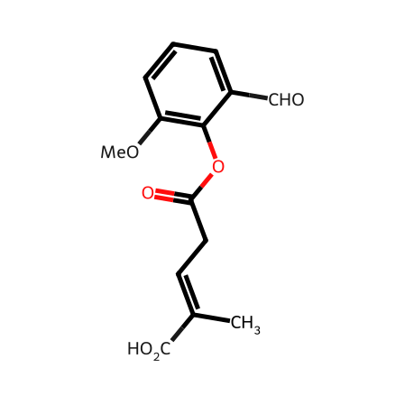 COc1cccc(C=O)c1OC(=O)CC=C(C)C(=O)O